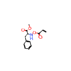 C=CC(=O)ONC(Cc1ccccc1)C(=O)OC